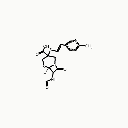 Cc1ccc(C=CSC2(C(=O)O)CS[C@@H]3C(NC=O)C(=O)N3C2)cn1